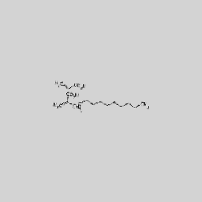 C=C(C)C(=O)O.C=CC(=O)O.CCCCCCCCCC